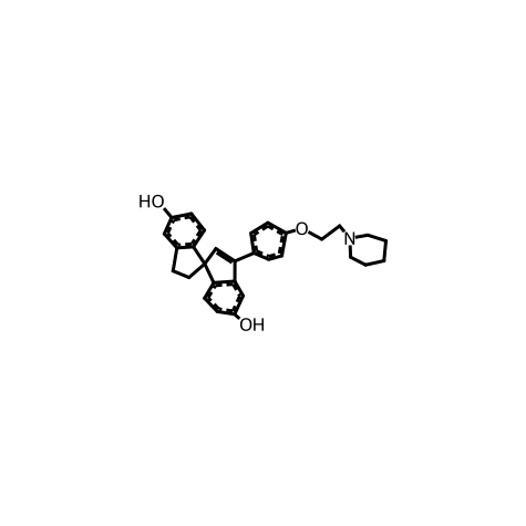 Oc1ccc2c(c1)CCC21C=C(c2ccc(OCCN3CCCCC3)cc2)c2cc(O)ccc21